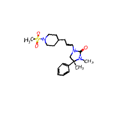 CN1C(=O)N(C=CCC2CCN(S(C)(=O)=O)CC2)C[C@@]1(C)c1ccccc1